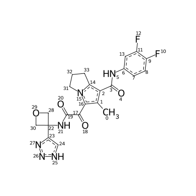 Cc1c(C(=O)Nc2ccc(F)c(F)c2)c2n(c1C(=O)C(=O)NC1(c3c[nH]nn3)COC1)CCC2